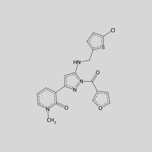 Cn1cccc(-c2cc(NCc3ccc(Cl)s3)n(C(=O)c3ccoc3)n2)c1=O